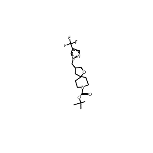 CC(C)(C)OC(=O)N1CCC2(CC1)CC(Cn1cc(C(F)(F)F)cn1)CO2